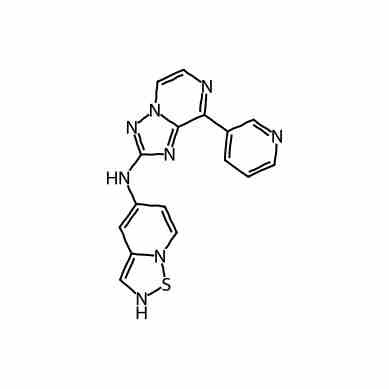 C1=CN2SNC=C2C=C1Nc1nc2c(-c3cccnc3)nccn2n1